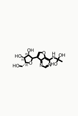 CC(O)(O)Nc1ncnc2c(C3O[C@H](CO)[C@@H](O)[C@H]3O)coc12